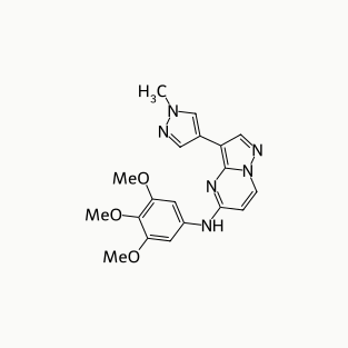 COc1cc(Nc2ccn3ncc(-c4cnn(C)c4)c3n2)cc(OC)c1OC